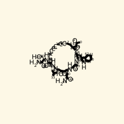 CC(=O)C[C@]1(C)CCCCCCCCCCC[C@@](C)(C(=O)N[C@@H](CO)C(N)=O)NN[C@@H](CC(C)C)C(=O)C(=O)[C@H](CCC(N)=O)NC(=O)C(C)NC(=O)[C@H](Cc2c[nH]c3ccccc23)CC1=O